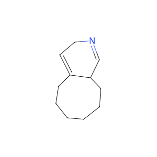 C1=NCC=C2CCCCCCC12